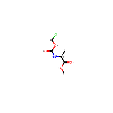 COC(=O)[C@H](C)NC(=O)OCCl